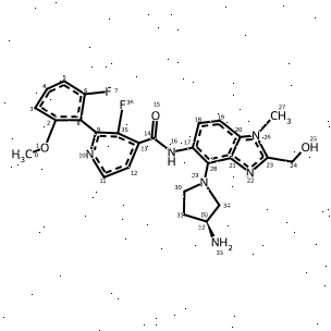 COc1cccc(F)c1-c1nccc(C(=O)Nc2ccc3c(nc(CO)n3C)c2N2CC[C@H](N)C2)c1F